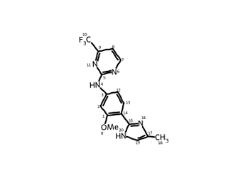 COc1cc(Nc2nccc(C(F)(F)F)n2)ccc1-c1nc(C)c[nH]1